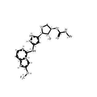 CC(C)NC(=O)O[C@@H]1CO[C@H](c2cc(Nc3nccc4nc(OC(F)(F)F)cn34)n[nH]2)[C@H]1F